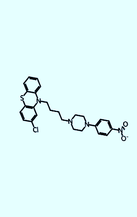 O=[N+]([O-])c1ccc(N2CCN(CCCCN3c4ccccc4Sc4ccc(Cl)cc43)CC2)cc1